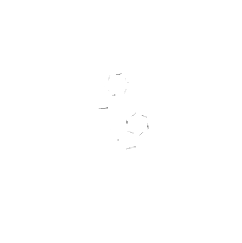 COC(=O)C1(c2ccccc2)CCCC1OC(=O)c1ccccc1C